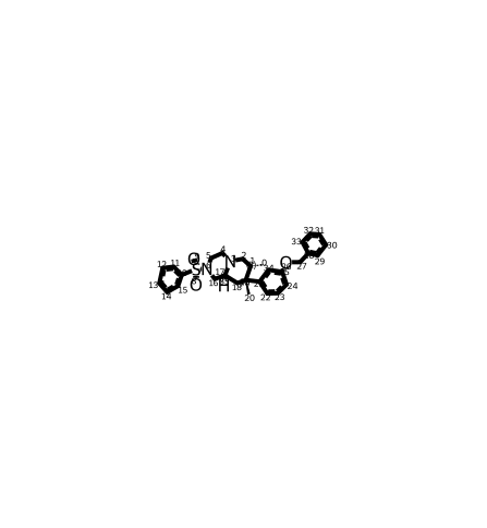 C[C@H]1CN2CCN(S(=O)(=O)c3ccccc3)C[C@H]2C[C@@]1(C)c1cccc(OCc2ccccc2)c1